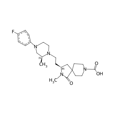 C[C@H]1CN(c2ccc(F)cc2)CCN1CC[C@H]1CC2(CCN(C(=O)O)CC2)C(=O)N1C